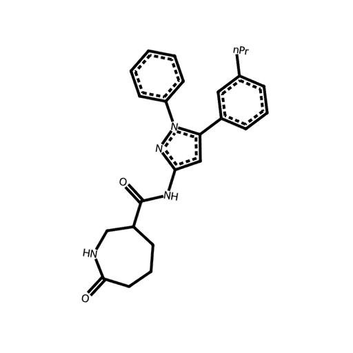 CCCc1cccc(-c2cc(NC(=O)C3CCCC(=O)NC3)nn2-c2ccccc2)c1